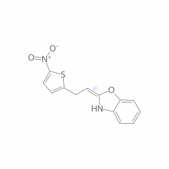 O=[N+]([O-])c1ccc(C/C=C2\Nc3ccccc3O2)s1